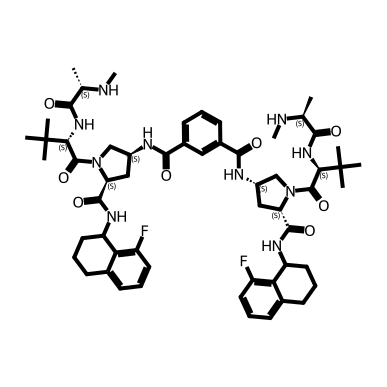 CN[C@@H](C)C(=O)N[C@H](C(=O)N1C[C@@H](NC(=O)c2cccc(C(=O)N[C@H]3C[C@@H](C(=O)NC4CCCc5cccc(F)c54)N(C(=O)[C@@H](NC(=O)[C@H](C)NC)C(C)(C)C)C3)c2)C[C@H]1C(=O)NC1CCCc2cccc(F)c21)C(C)(C)C